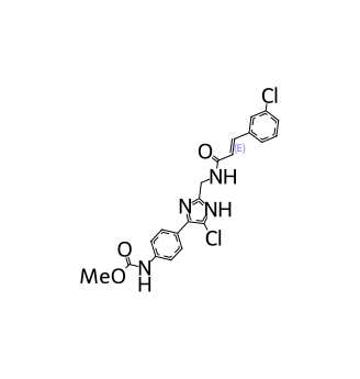 COC(=O)Nc1ccc(-c2nc(CNC(=O)/C=C/c3cccc(Cl)c3)[nH]c2Cl)cc1